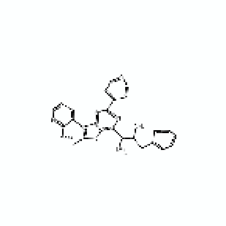 COc1ncccc1-c1c(C)sc2c(C(N)C(N)Cc3ccccc3)nc(-c3ccncc3)nc12